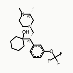 C[C@@H]1CN(C[C@H](c2cccc(OC(F)(F)F)c2)C2(O)CCCCC2)CCN1C